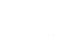 CC(C)(C)OC=O.NN(CC(=O)N1CCNCC1)C(=O)CC(=O)OCc1ccccc1